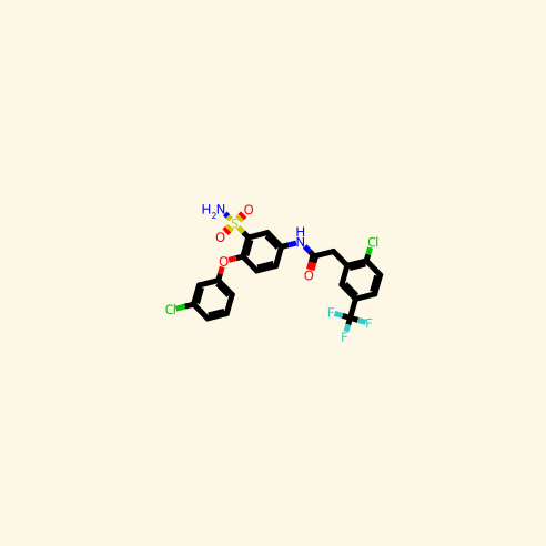 NS(=O)(=O)c1cc(NC(=O)Cc2cc(C(F)(F)F)ccc2Cl)ccc1Oc1cccc(Cl)c1